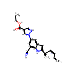 C=C/C=C\C(=C)c1cc2cc(-n3cc(C(=O)OCC)cn3)cc(C#N)c2[nH]1